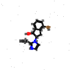 O=C(O)c1nccn1C1Cc2c(Br)cccc2C1=O